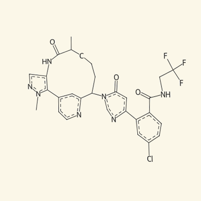 CC1CCCC(n2cnc(-c3cc(Cl)ccc3C(=O)NCC(F)(F)F)cc2=O)c2cc(ccn2)-c2c(cnn2C)NC1=O